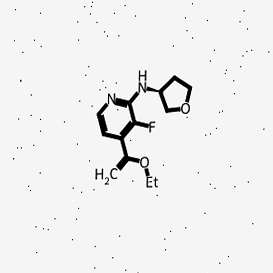 C=C(OCC)c1ccnc(N[C@H]2CCOC2)c1F